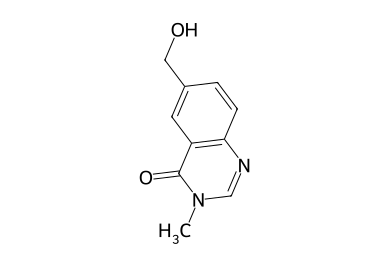 Cn1cnc2ccc(CO)cc2c1=O